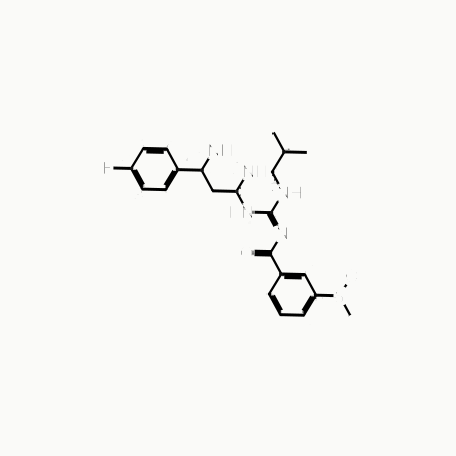 CC(C)CN/C(=N/C(=O)c1cccc([S+](C)[O-])c1)NC(N)CC(N)c1ccc(F)cc1